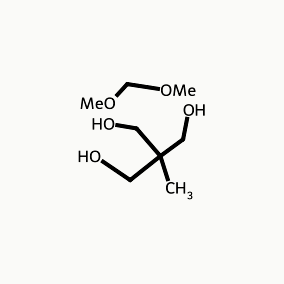 CC(CO)(CO)CO.COCOC